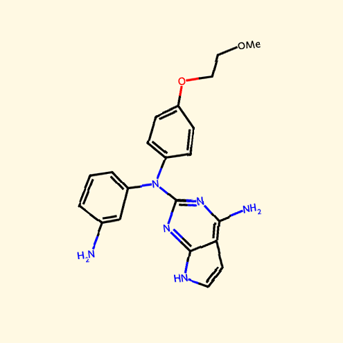 COCCOc1ccc(N(c2cccc(N)c2)c2nc(N)c3cc[nH]c3n2)cc1